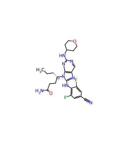 CCC[C@@H](CCC(N)=O)n1c(Nc2c(F)cc(C#N)cc2F)nc2cnc(NC3CCOCC3)nc21